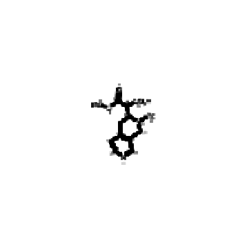 CCC(C)OC(=O)C(C(=O)O)C1Cc2ccncc2CN1C(C)=O